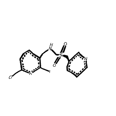 O=S(=O)(Nc1ccc(Cl)nc1I)c1cccnc1